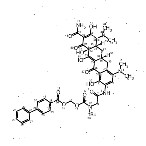 CN(C)c1cc(NC(=O)CN(C(=O)OCOC(=O)c2ccc(-c3ccccc3)cc2)C(C)(C)C)c(O)c2c1C[C@H]1C[C@H]3[C@H](N(C)C)C(O)=C(C(N)=O)C(=O)[C@@]3(O)C(O)=C1C2=O